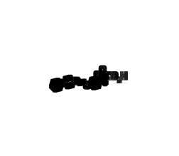 Cc1c(C(=O)O)c(=O)oc2cc(OCCCN3CCN(c4ccccc4)CC3)ccc12